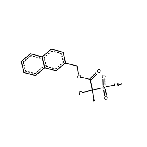 O=C(OCc1ccc2ccccc2c1)C(F)(F)S(=O)(=O)O